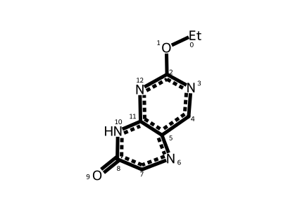 CCOc1ncc2ncc(=O)[nH]c2n1